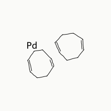 C1=CCCC=CCC1.C1=CCCC=CCC1.[Pd]